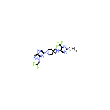 Cc1ncc(N2CC3(CCN(c4cnc5cnn(CC(F)F)c5n4)CC3)C2)c(C(F)(F)F)n1